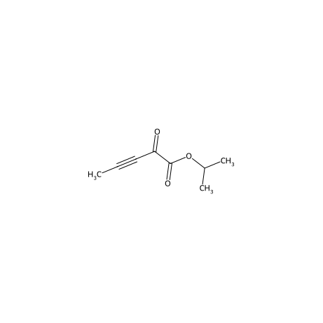 CC#CC(=O)C(=O)OC(C)C